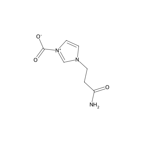 NC(=O)CCn1cc[n+](C(=O)[O-])c1